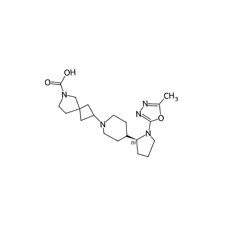 Cc1nnc(N2CCC[C@H]2C2CCN(C3CC4(CCN(C(=O)O)C4)C3)CC2)o1